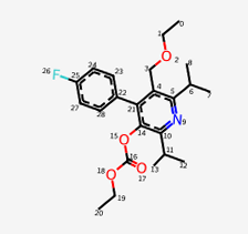 CCOCc1c(C(C)C)nc(C(C)C)c(OC(=O)OCC)c1-c1ccc(F)cc1